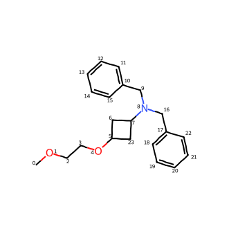 COCCOC1CC(N(Cc2ccccc2)Cc2ccccc2)C1